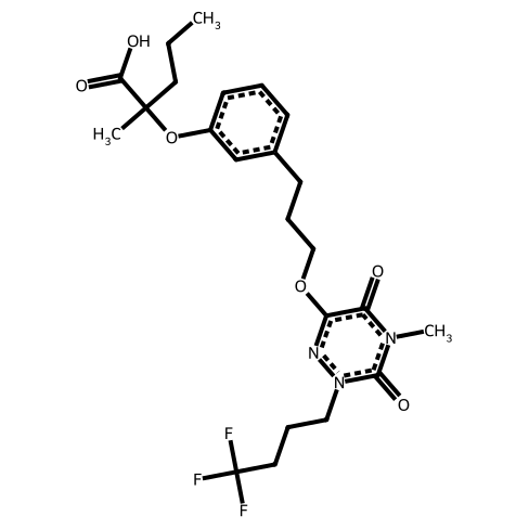 CCCC(C)(Oc1cccc(CCCOc2nn(CCCC(F)(F)F)c(=O)n(C)c2=O)c1)C(=O)O